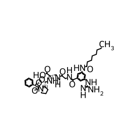 CCCCCCCC(=O)Nc1cc(NC(=N)N)cc(C(=O)NCC(=O)NC[C@H](NC(=O)[C@@H]2CCCN2S(=O)(=O)c2ccccc2)C(=O)O)c1